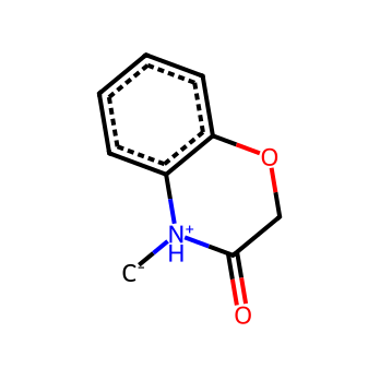 [CH2-][NH+]1C(=O)COc2ccccc21